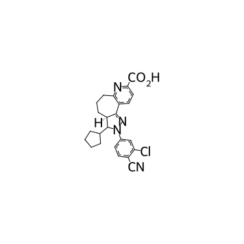 N#Cc1ccc(N2N=C3c4ccc(C(=O)O)nc4CCC[C@@H]3C2C2CCCC2)cc1Cl